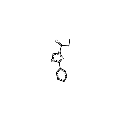 CCC(=O)n1cnc(-c2ccccc2)n1